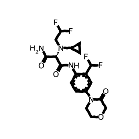 NC(=O)[C@@H](C(=O)Nc1ccc(N2CCOCC2=O)cc1C(F)F)N(CC(F)F)C1CC1